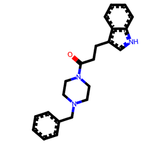 O=C(CCc1c[nH]c2ccccc12)N1CCN(Cc2ccccc2)CC1